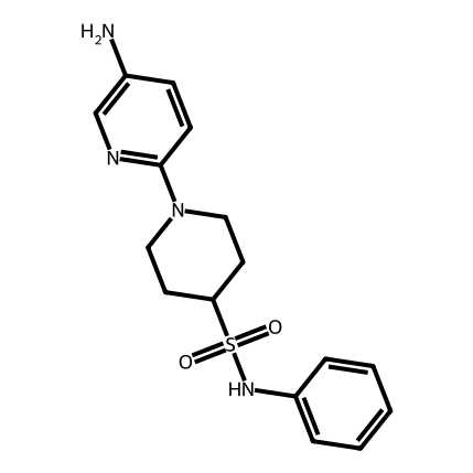 Nc1ccc(N2CCC(S(=O)(=O)Nc3ccccc3)CC2)nc1